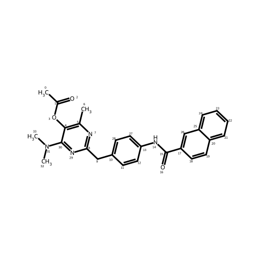 CC(=O)Oc1c(C)nc(Cc2ccc(NC(=O)c3ccc4ccccc4c3)cc2)nc1N(C)C